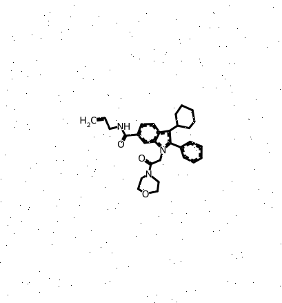 C=CCNC(=O)c1ccc2c(C3CCCCC3)c(-c3ccccc3)n(CC(=O)N3CCOCC3)c2c1